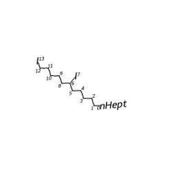 CCCCCCCCCCCCC(I)CCCCCI